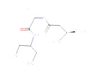 CCC(C)[C@H](NC(=O)C[C@H](N)C(=O)O)C(=O)NC(CN)CN